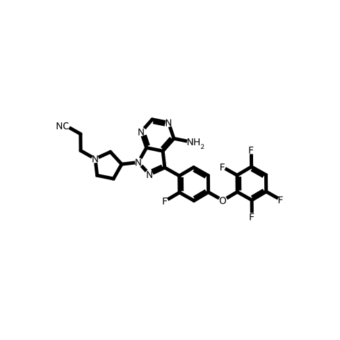 N#CCCN1CCC(n2nc(-c3ccc(Oc4c(F)c(F)cc(F)c4F)cc3F)c3c(N)ncnc32)C1